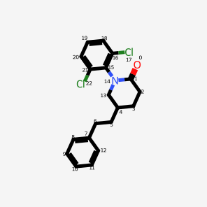 O=C1CCC(CCc2ccccc2)CN1c1c(Cl)cccc1Cl